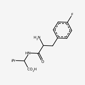 CC(C)C(NC(=O)C(N)Cc1ccc(F)cc1)C(=O)O